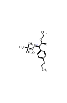 CCOC(=O)/C(=N/[S@+]([O-])C(C)(C)C)c1ccc(SCC)cc1